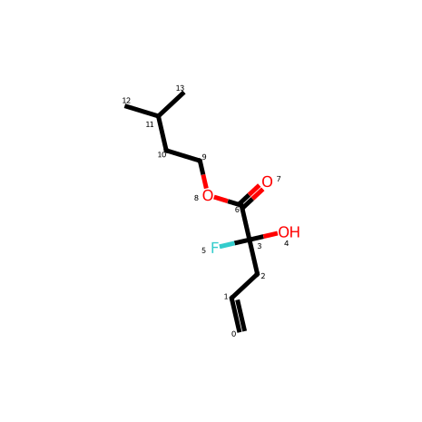 C=CCC(O)(F)C(=O)OCCC(C)C